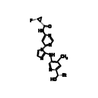 CC[C@H](O)c1cc(C)c(Nc2nccn2-c2cc(NC(=O)[C@H]3C[C@H]3F)ncn2)cn1